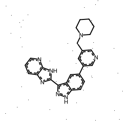 c1cnc2[nH]c(-c3n[nH]c4ccc(-c5cncc(CN6CCCCC6)c5)cc34)nc2c1